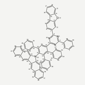 c1ccc(-c2nc(-c3ccc4c(c3)oc3ccccc34)nc(-c3cc(-c4ccccc4)c(-n4c5cc6ccccc6cc5c5cc6ccccc6cc54)c(-c4ccccc4)c3-c3ccccc3)n2)cc1